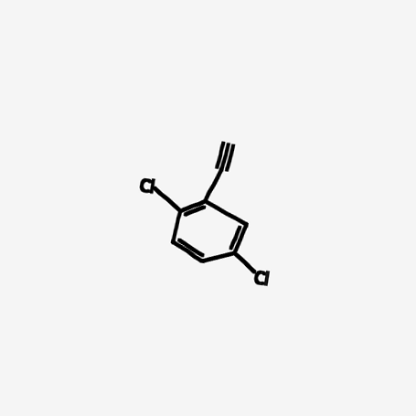 C#Cc1cc(Cl)ccc1Cl